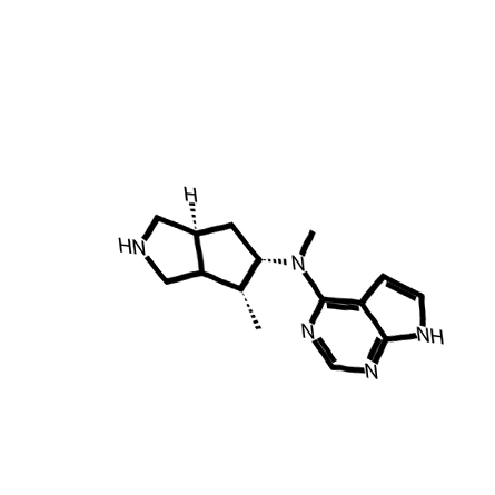 C[C@@H]1C2CNC[C@H]2C[C@@H]1N(C)c1ncnc2[nH]ccc12